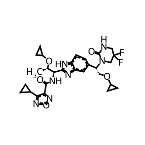 C[C@@H](OC1CC1)[C@H](NC(=O)c1nonc1C1CC1)c1nc2cc([C@@H](COC3CC3)N3CC(F)(F)CNC3=O)ccc2[nH]1